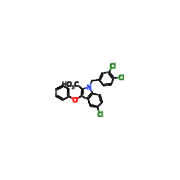 O=C(O)c1c(Oc2ccccc2)c2cc(Cl)ccc2n1Cc1ccc(Cl)c(Cl)c1